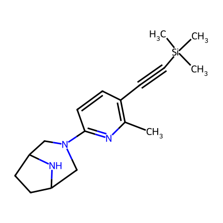 Cc1nc(N2CC3CCC(C2)N3)ccc1C#C[Si](C)(C)C